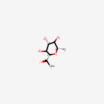 CC[C@@H]1O[C@H](C(=O)OC)C(O)[C@H](O)C1O